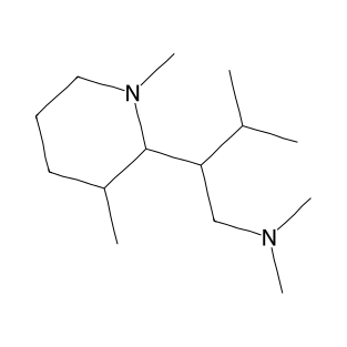 CC(C)C(CN(C)C)C1C(C)CCCN1C